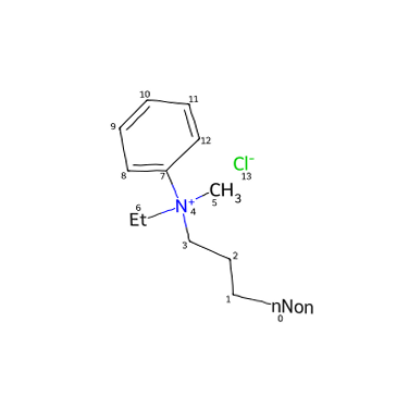 CCCCCCCCCCCC[N+](C)(CC)c1ccccc1.[Cl-]